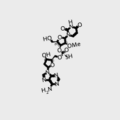 CO[C@@H]1C(n2ccc(=O)[nH]c2=O)O[C@H](CO)[C@@H]1O[P@@](=O)(S)OC[C@H]1OC(n2cnc3c(N)ncnc32)C[C@H]1O